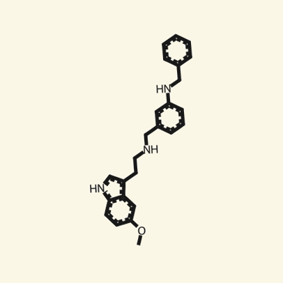 COc1ccc2[nH]cc(CCNCc3cccc(NCc4ccccc4)c3)c2c1